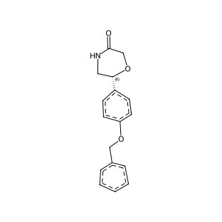 O=C1CO[C@H](c2ccc(OCc3ccccc3)cc2)CN1